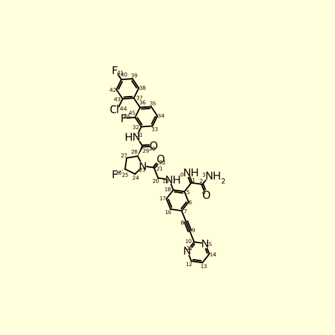 N=C(C(N)=O)c1cc(C#Cc2ncccn2)ccc1NCC(=O)N1C[C@H](F)C[C@H]1C(=O)Nc1cccc(-c2ccc(F)cc2Cl)c1F